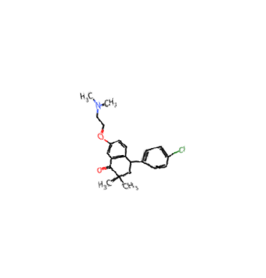 CN(C)CCOc1ccc2c(c1)C(=O)C(C)(C)CC2c1ccc(Cl)cc1